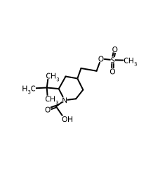 CC(C)(C)C1CC(CCOS(C)(=O)=O)CCN1C(=O)O